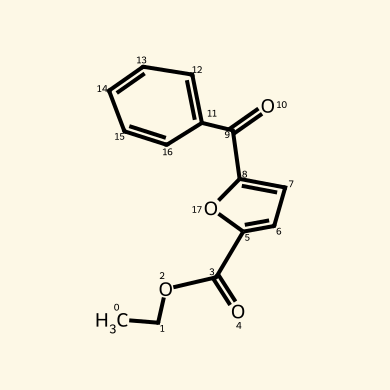 CCOC(=O)c1ccc(C(=O)c2ccccc2)o1